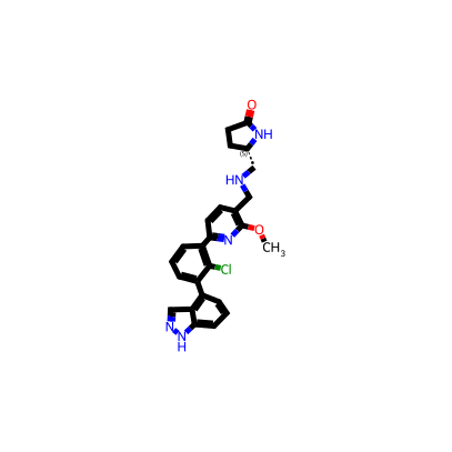 COc1nc(-c2cccc(-c3cccc4[nH]ncc34)c2Cl)ccc1CNC[C@@H]1CCC(=O)N1